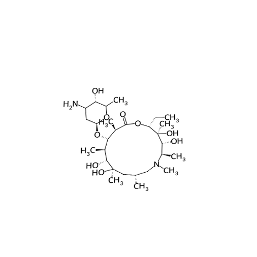 CC[C@H]1OC(=O)[C@H](C)[C@@H](O[C@H]2CC(N)[C@H](O)C(C)O2)[C@H](C)[C@@H](O)[C@](C)(O)C[C@@H](C)CN(C)[C@H](C)[C@@H](O)[C@]1(C)O